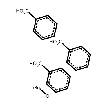 CCCCO.O=C(O)c1ccccc1.O=C(O)c1ccccc1.O=C(O)c1ccccc1